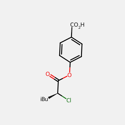 CCC(C)[C@H](Cl)C(=O)Oc1ccc(C(=O)O)cc1